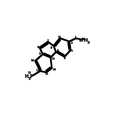 PCc1ccc2c(ccc3cc(P)ccc32)c1